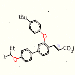 CCC(CC)Oc1ccc(-c2ccc(/C=C/C(=O)O)c(Oc3ccc(C(C)(C)C)cc3)c2)cc1